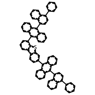 c1ccc(-c2ccc(-c3c4ccccc4c(-c4ccc5c(c4)sc4c(-c6c7ccccc7c(-c7ccc(-c8ccccc8)c8ccccc78)c7ccccc67)cccc45)c4ccccc34)c3ccccc23)cc1